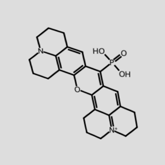 O=P(O)(O)C1=c2cc3c4c(c2Oc2c1cc1c5c2CCCN5CCC1)CCC[N+]=4CCC3